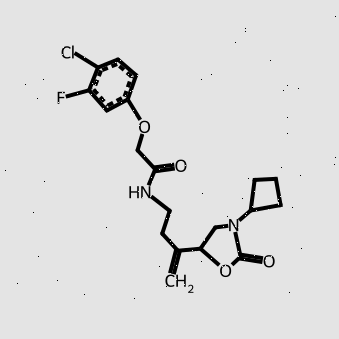 C=C(CCNC(=O)COc1ccc(Cl)c(F)c1)C1CN(C2CCC2)C(=O)O1